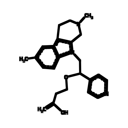 C=C(O)CCOC(Cn1c2c(c3cc(C)ccc31)CCN(C)C2)c1ccncc1